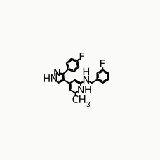 CC1C=C(c2c[nH]nc2-c2ccc(F)cc2)C=C(NCc2cccc(F)c2)N1